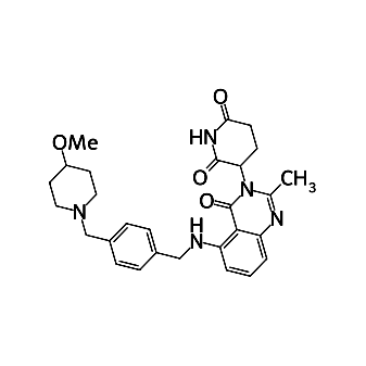 COC1CCN(Cc2ccc(CNc3cccc4nc(C)n(C5CCC(=O)NC5=O)c(=O)c34)cc2)CC1